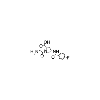 NCC(=O)N1CC(NC(=O)c2ccc(F)cc2)CC1C(=O)O